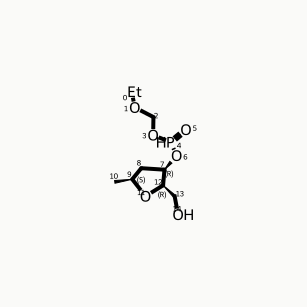 CCOCO[PH](=O)O[C@@H]1C[C@H](C)O[C@@H]1CO